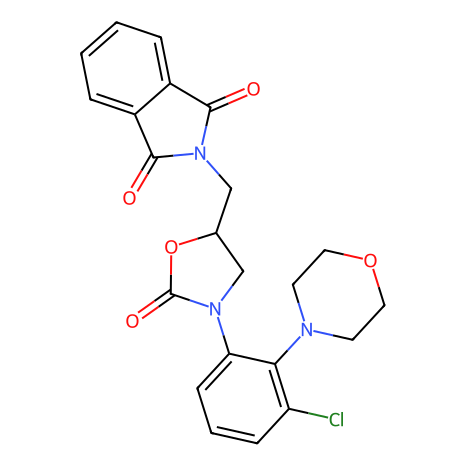 O=C1c2ccccc2C(=O)N1CC1CN(c2cccc(Cl)c2N2CCOCC2)C(=O)O1